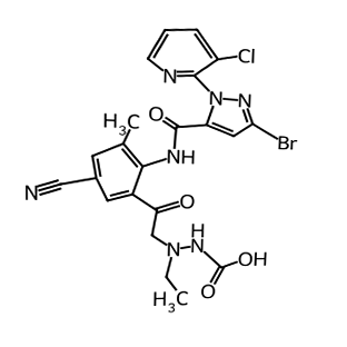 CCN(CC(=O)c1cc(C#N)cc(C)c1NC(=O)c1cc(Br)nn1-c1ncccc1Cl)NC(=O)O